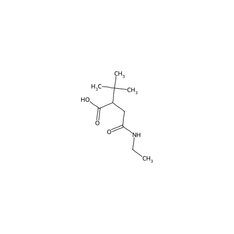 CCNC(=O)CC(C(=O)O)C(C)(C)C